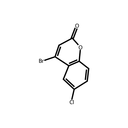 O=c1cc(Br)c2cc(Cl)ccc2o1